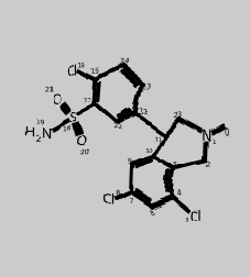 CN1Cc2c(Cl)cc(Cl)cc2C(c2ccc(Cl)c(S(N)(=O)=O)c2)C1